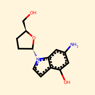 Nc1cc(O)c2ccn([C@@H]3CC[C@@H](CO)O3)c2c1